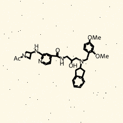 COc1ccc(CN(CC(O)CNC(=O)c2ccnc(NC3CN(C(C)=O)C3)c2)C2Cc3ccccc3C2)c(OC)c1